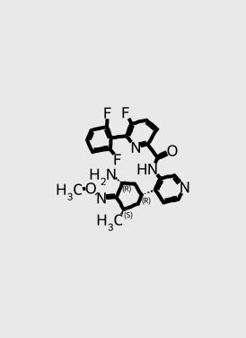 CON=C1[C@H](N)C[C@H](c2ccncc2NC(=O)c2ccc(F)c(-c3c(F)cccc3F)n2)C[C@@H]1C